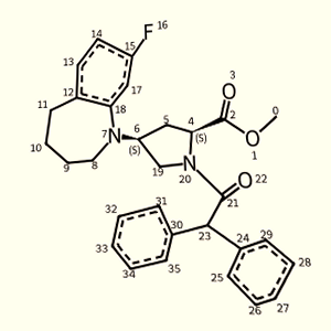 COC(=O)[C@@H]1C[C@H](N2CCCCc3ccc(F)cc32)CN1C(=O)C(c1ccccc1)c1ccccc1